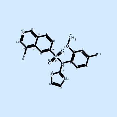 COc1cc(F)ccc1N(c1nccs1)S(=O)(=O)c1ccc2cncc(F)c2c1